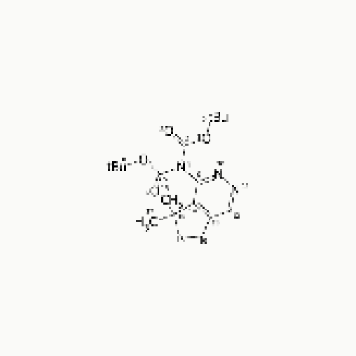 CC(C)(C)OC(=O)N(C(=O)OC(C)(C)C)c1nncc2c1C(C)(C)CC2